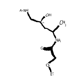 CCOCC(=O)NC(C)C[C@H](O)CNC(C)=O